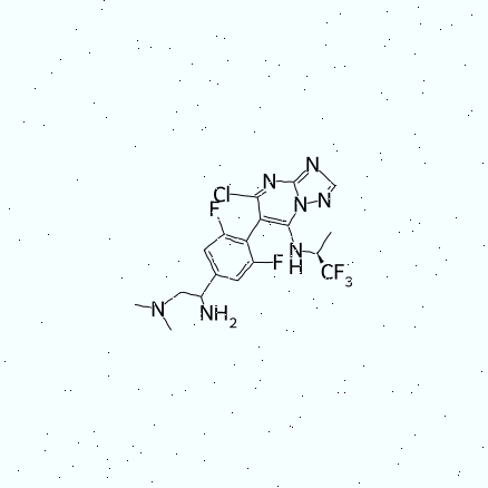 C[C@H](Nc1c(-c2c(F)cc(C(N)CN(C)C)cc2F)c(Cl)nc2ncnn12)C(F)(F)F